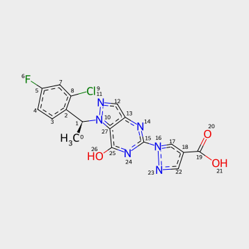 C[C@@H](c1ccc(F)cc1Cl)n1ncc2nc(-n3cc(C(=O)O)cn3)nc(O)c21